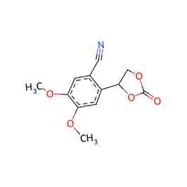 COc1cc(C#N)c(C2COC(=O)O2)cc1OC